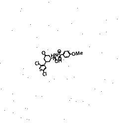 COc1ccc(S(=O)(=O)NN(O)C2CC(=O)CC(c3cc(Cl)sc3Cl)C2)cc1